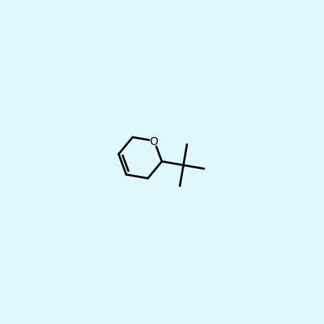 CC(C)(C)C1CC=CCO1